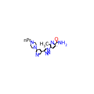 CCCN1CCN(c2cncc(-c3cn(-c4c[c]c(C(N)=O)nc4C)nn3)c2)CC1